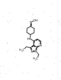 CCc1nn(CC)c2nccc(NC3CCC(=NO)CC3)c12